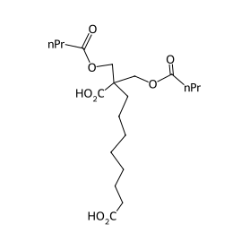 CCCC(=O)OCC(CCCCCCCC(=O)O)(COC(=O)CCC)C(=O)O